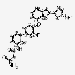 CC(C)n1cnc(-c2cc3nccc(Oc4ccc(-c5cccc(NC(=O)CC(N)=O)c5F)cc4F)c3s2)c1